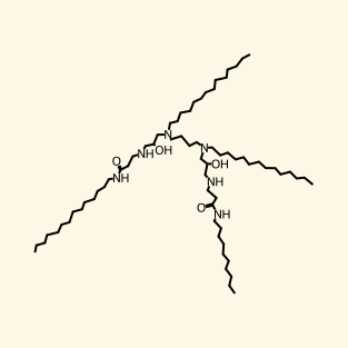 CCCCCCCCCCCCCCNC(=O)CCNCC(O)CN(CCCCCCCCCCCCCC)CCCCN(CCCCCCCCCCCCCC)CC(O)CNCCC(=O)NCCCCCCCCCC